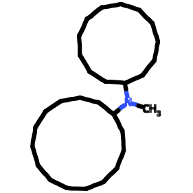 CN(C1CCCCCCCCCCCCCC1)C1CCCCCCCCCCCC1